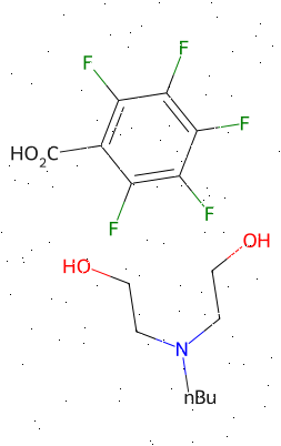 CCCCN(CCO)CCO.O=C(O)c1c(F)c(F)c(F)c(F)c1F